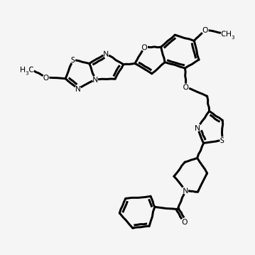 COc1cc(OCc2csc(C3CCN(C(=O)c4ccccc4)CC3)n2)c2cc(-c3cn4nc(OC)sc4n3)oc2c1